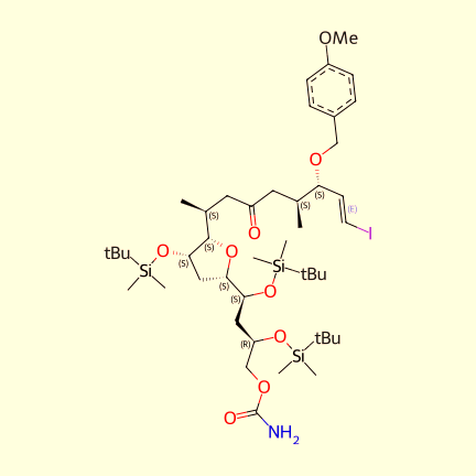 COc1ccc(CO[C@H](/C=C/I)[C@@H](C)CC(=O)C[C@H](C)[C@@H]2O[C@H]([C@H](C[C@H](COC(N)=O)O[Si](C)(C)C(C)(C)C)O[Si](C)(C)C(C)(C)C)C[C@@H]2O[Si](C)(C)C(C)(C)C)cc1